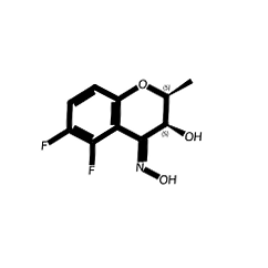 C[C@@H]1Oc2ccc(F)c(F)c2C(=NO)[C@@H]1O